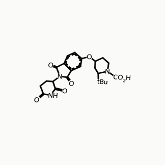 CC(C)(C)C1CC(Oc2ccc3c(c2)C(=O)N(C2CCC(=O)NC2=O)C3=O)CCN1C(=O)O